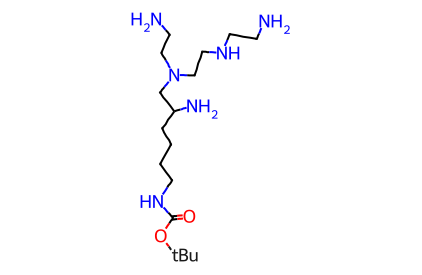 CC(C)(C)OC(=O)NCCCCC(N)CN(CCN)CCNCCN